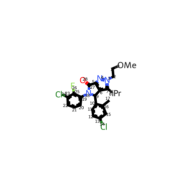 COCCn1nc2c(c1C(C)C)C(c1ccc(Cl)cc1C)N(c1cccc(Cl)c1F)C2=O